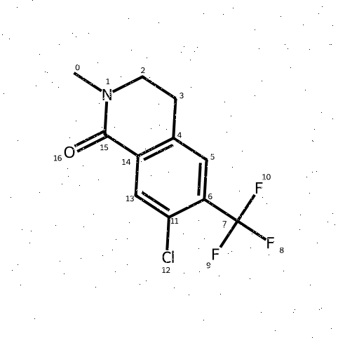 CN1CCc2cc(C(F)(F)F)c(Cl)cc2C1=O